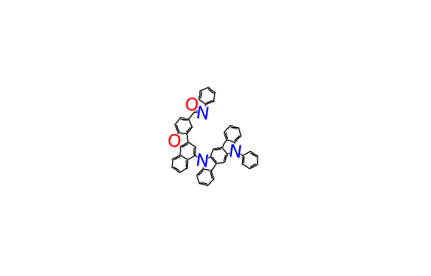 c1ccc(-n2c3ccccc3c3cc4c(cc32)c2ccccc2n4-c2cc3c4cc(-c5nc6ccccc6o5)ccc4oc3c3ccccc23)cc1